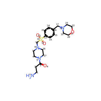 NCCC(=O)N1CCN(CS(=O)(=O)c2ccc(CN3CCOCC3)cc2)CC1